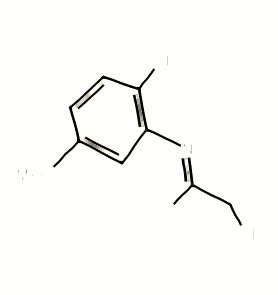 CC/C(CO)=N\c1cc(OC)ccc1C